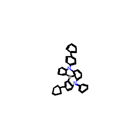 c1ccc(-c2ccc(N3c4ccccc4B4c5cc(C6CCCCC6)ccc5N(c5ccccc5)c5cccc3c54)cc2)cc1